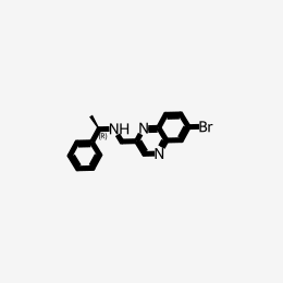 C[C@@H](NCc1cnc2cc(Br)ccc2n1)c1ccccc1